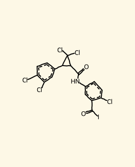 O=C(I)c1cc(NC(=O)C2C(c3ccc(Cl)c(Cl)c3)C2(Cl)Cl)ccc1Cl